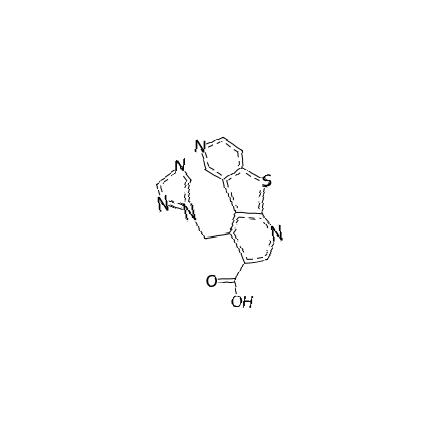 O=C(O)c1cnc2sc3ccncc3c2c1Cn1cncn1